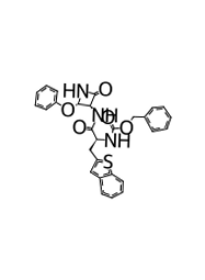 O=C(N[C@@H](Cc1cc2ccccc2s1)C(=O)N[C@@H]1C(=O)N[C@H]1Oc1ccccc1)OCc1ccccc1